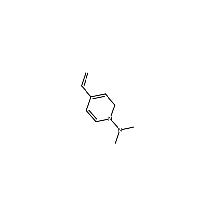 C=CC1=CCN(N(C)C)C=C1